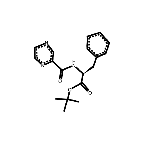 CC(C)(C)OC(=O)[C@H](Cc1ccccc1)NC(=O)c1cnccn1